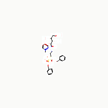 C[C@H](CO)[C@@H](O)[C@H](O)[C@@H](O)C(=O)NCCCS(C(=O)OCc1ccccc1)(C(=O)OCc1ccccc1)C(=O)OCc1ccccc1